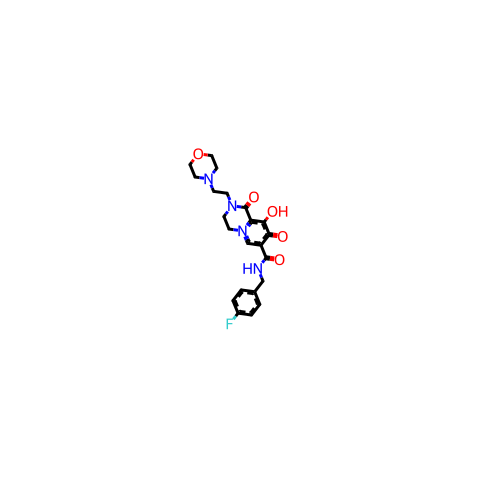 O=C(NCc1ccc(F)cc1)c1cn2c(c(O)c1=O)C(=O)N(CCN1CCOCC1)CC2